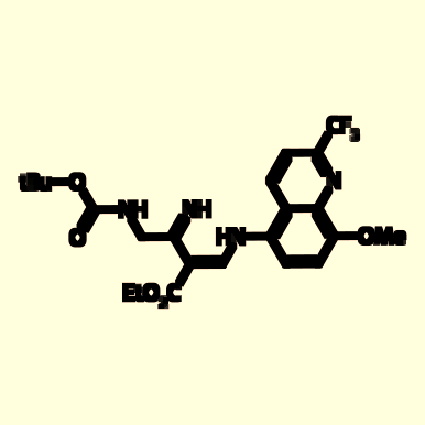 CCOC(=O)/C(=C/Nc1ccc(OC)c2nc(C(F)(F)F)ccc12)C(=N)CNC(=O)OC(C)(C)C